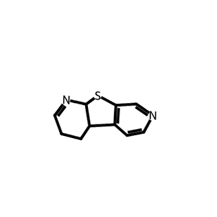 C1=NC2Sc3cnccc3C2CC1